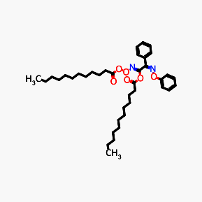 CCCCCCCCCCCC(=O)OON=C(OC(=O)CCCCCCCCCCC)C(=NOc1ccccc1)c1ccccc1